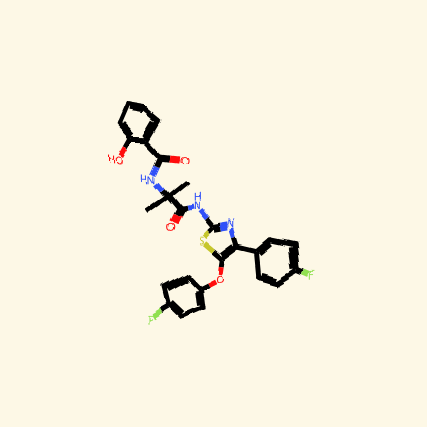 CC(C)(NC(=O)c1ccccc1O)C(=O)Nc1nc(-c2ccc(F)cc2)c(Oc2ccc(F)cc2)s1